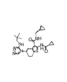 CC(C)(C)CNc1nncn1[C@@H]1CCc2sc(NC(=O)C3CC3)c(C(=O)NCC3CC3)c2C1